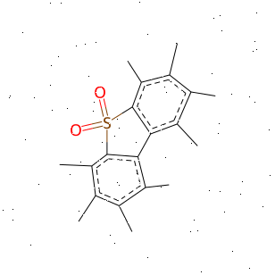 Cc1c(C)c(C)c2c(c1C)-c1c(C)c(C)c(C)c(C)c1S2(=O)=O